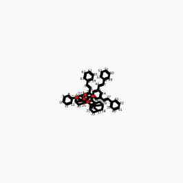 C(=C\c1cc(/C=C/c2ccccc2)cc(C23CC4CC(CC(C4)C2C2C4CC5CC(C4)CC2(c2cc(/C=C/c4ccccc4)cc(/C=C/c4ccccc4)c2)C5)C3)c1)/c1ccccc1